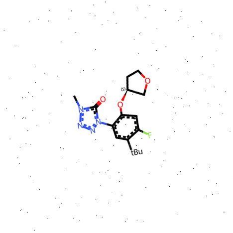 Cn1nnn(-c2cc(C(C)(C)C)c(F)cc2O[C@H]2CCOC2)c1=O